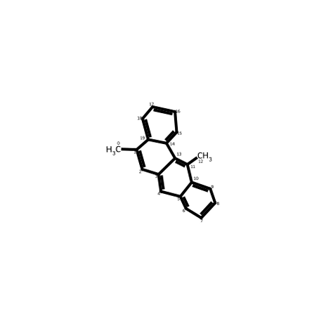 Cc1cc2cc3ccccc3c(C)c2c2ccccc12